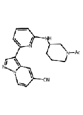 CC(=O)N1CCCC(Nc2cccc(-c3cnn4ccc(C#N)cc34)n2)C1